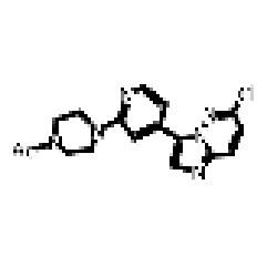 CC(=O)N1CCN(c2cc(-c3cnc4ccc(Cl)nn34)ccn2)CC1